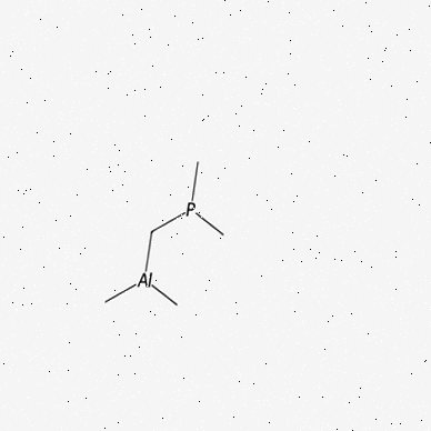 [CH3][Al]([CH3])[CH2]P(C)C